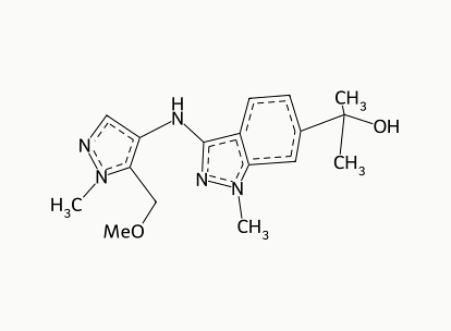 COCc1c(Nc2nn(C)c3cc(C(C)(C)O)ccc23)cnn1C